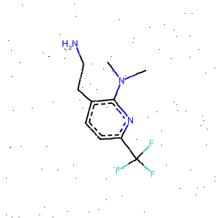 CN(C)c1nc(C(F)(F)F)ccc1CCN